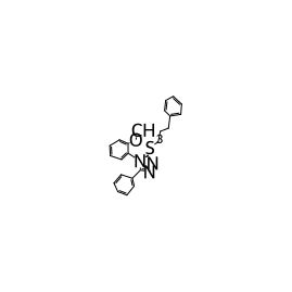 COc1ccccc1-n1c(SCCCc2ccccc2)nnc1-c1ccccc1